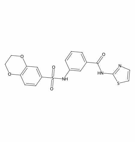 O=C(Nc1nccs1)c1cccc(NS(=O)(=O)c2ccc3c(c2)OCCO3)c1